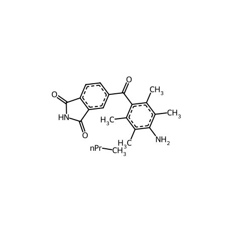 CCCC.Cc1c(C)c(C(=O)c2ccc3c(c2)C(=O)NC3=O)c(C)c(C)c1N